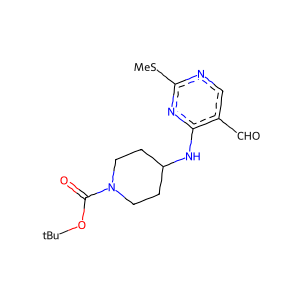 CSc1ncc(C=O)c(NC2CCN(C(=O)OC(C)(C)C)CC2)n1